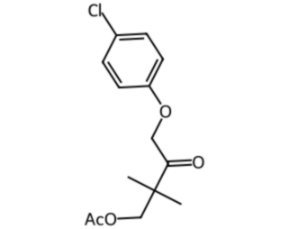 CC(=O)OCC(C)(C)C(=O)COc1ccc(Cl)cc1